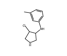 Cc1cccc(NC2CNCC2Cl)c1